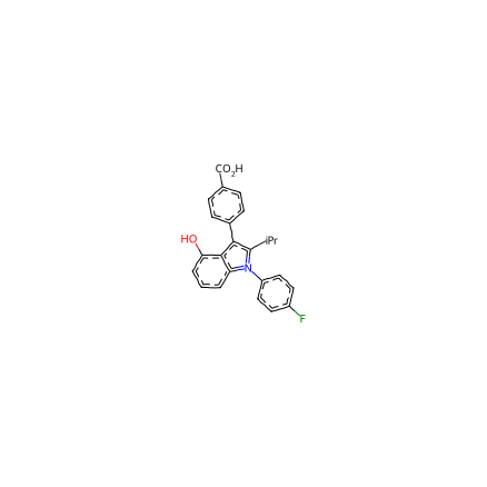 CC(C)c1c(-c2ccc(C(=O)O)cc2)c2c(O)cccc2n1-c1ccc(F)cc1